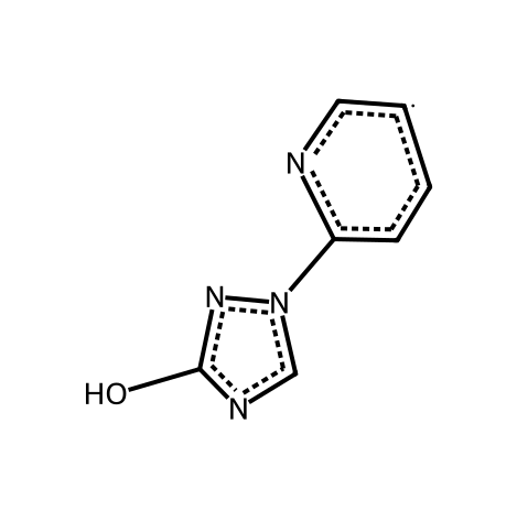 Oc1ncn(-c2cc[c]cn2)n1